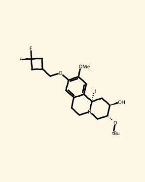 COc1cc2c(cc1OCC1CC(F)(F)C1)CCN1C[C@@H](OC(C)(C)C)[C@H](O)C[C@H]21